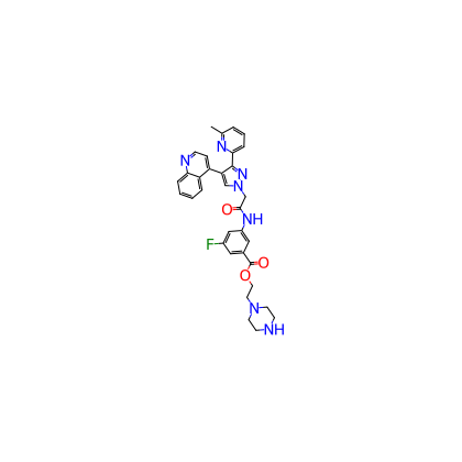 Cc1cccc(-c2nn(CC(=O)Nc3cc(F)cc(C(=O)OCCN4CCNCC4)c3)cc2-c2ccnc3ccccc23)n1